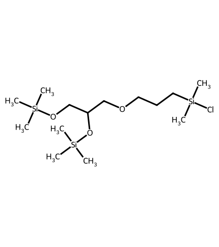 C[Si](C)(Cl)CCCOCC(CO[Si](C)(C)C)O[Si](C)(C)C